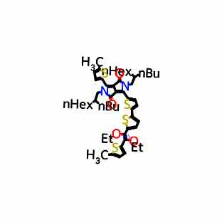 CCCCCCC(CCCC)CN1C(=O)C2=C(c3ccc(-c4ccc(/C(OCC)=C(\OCC)c5ccc(C)s5)s4)s3)N(CC(CCCC)CCCCCC)C(=O)C2=C1c1ccc(C)s1